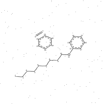 C=C.CCCCCCCCCOc1ccccc1.c1ccccc1